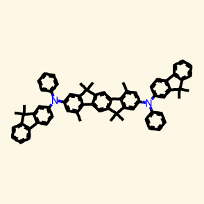 Cc1cc(N(c2ccccc2)c2ccc3c(c2)C(C)(C)c2ccccc2-3)cc2c1-c1cc3c(cc1C2(C)C)-c1c(C)cc(N(c2ccccc2)c2ccc4c(c2)C(C)(C)c2ccccc2-4)cc1C3(C)C